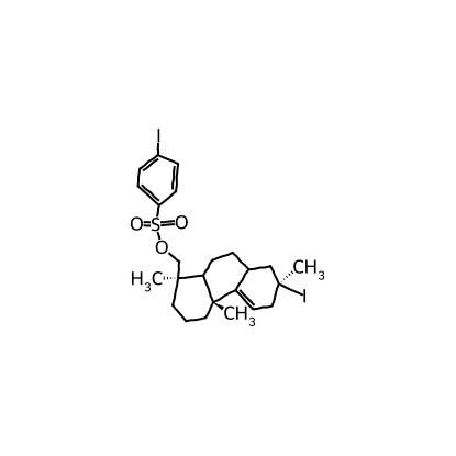 C[C@]1(I)CC=C2C(CCC3[C@](C)(COS(=O)(=O)c4ccc(I)cc4)CCC[C@@]23C)C1